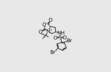 CC(C)(C)[N+]1(C(=O)[O-])C[C@H](NS(=O)(=O)c2cc(Br)ccc2Br)C[C@@H]1C=O